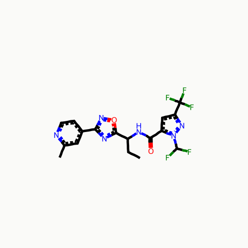 CCC(NC(=O)c1cc(C(F)(F)F)nn1C(F)F)c1nc(-c2ccnc(C)c2)no1